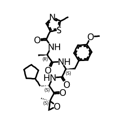 COc1ccc(C[C@H](NC(=O)[C@@H](C)NC(=O)c2cnc(C)s2)C(=O)N[C@@H](CC2CCCC2)C(=O)[C@]2(C)CO2)cc1